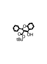 CC(C)(C)OC(=O)C1=C(O)c2ccccc2OC1c1ccccc1